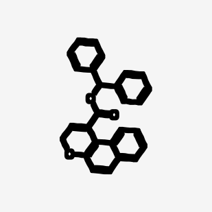 O=C(OC(c1ccccc1)c1ccccc1)C1=CCOc2ccc3ccccc3c21